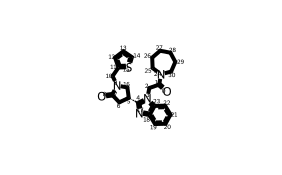 O=C(Cn1c([C@@H]2CC(=O)N(Cc3cccs3)C2)nc2ccccc21)N1CCCCCC1